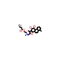 CC(=O)CCC(=O)OCCN(C)Cc1oc2c(c1C)C(=O)C(=O)c1c-2ccc2c(C)cccc12